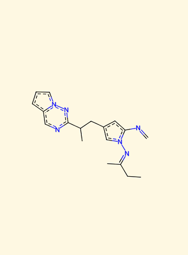 C=Nc1cc(CC(C)c2ncc3cccn3n2)cn1/N=C(\C)CC